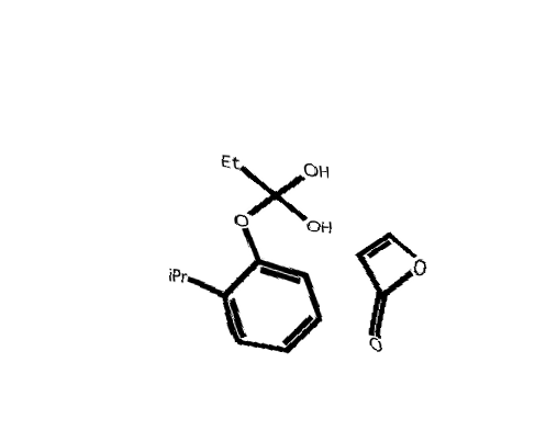 CCC(O)(O)Oc1ccccc1C(C)C.O=C1C=CO1